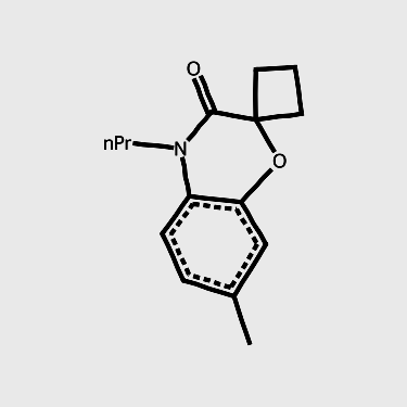 CCCN1C(=O)C2(CCC2)Oc2cc(C)ccc21